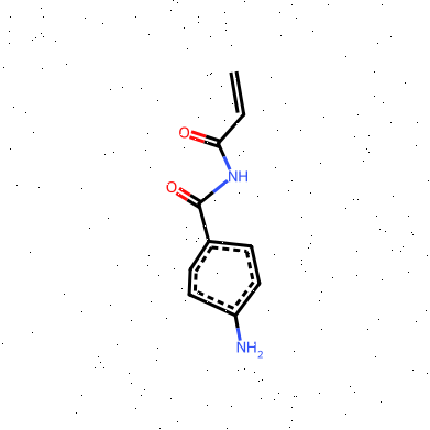 C=CC(=O)NC(=O)c1ccc(N)cc1